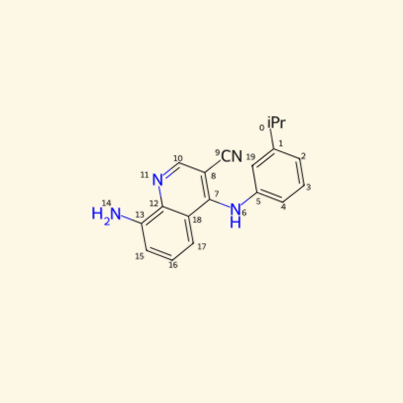 CC(C)c1cccc(Nc2c(C#N)cnc3c(N)cccc23)c1